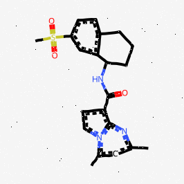 Cc1cc(C)n2ccc(C(=O)NC3CCCc4ccc(S(C)(=O)=O)cc43)c2n1